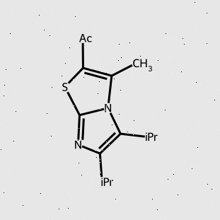 CC(=O)c1sc2nc(C(C)C)c(C(C)C)n2c1C